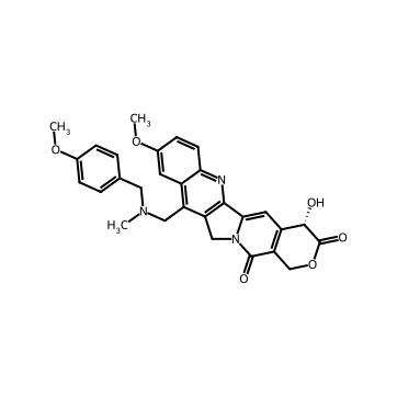 COc1ccc(CN(C)Cc2c3c(nc4ccc(OC)cc24)-c2cc4c(c(=O)n2C3)COC(=O)[C@H]4O)cc1